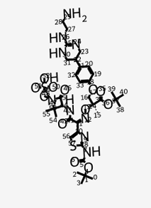 CC(C)(C)OC(=O)Nc1nc(/C(=N/O[C@@](C)(COc2ccc(C3CN=C(NCCN)NC3)cc2)C(=O)OC(C)(C)C)C(=O)N[C@@H]2C(=O)N(OS(=O)(=O)O)C2(C)C)cs1